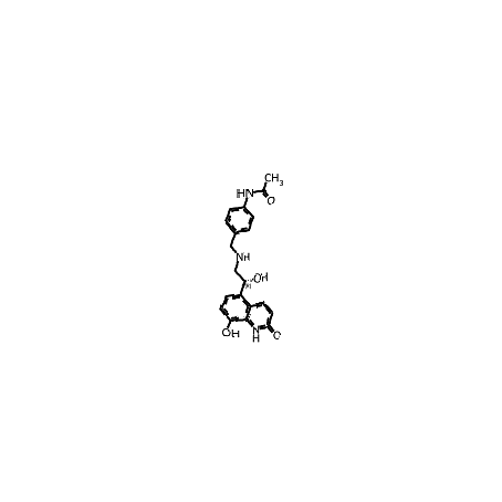 CC(=O)Nc1ccc(CNC[C@H](O)c2ccc(O)c3[nH]c(=O)ccc23)cc1